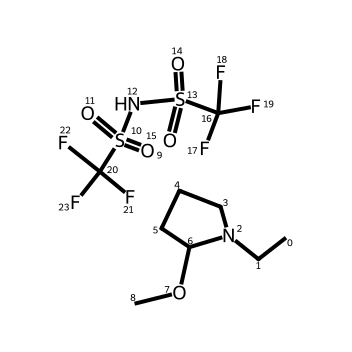 CCN1CCCC1OC.O=S(=O)(NS(=O)(=O)C(F)(F)F)C(F)(F)F